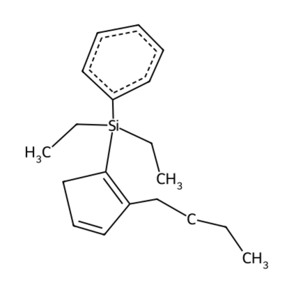 CCCCC1=C([Si](CC)(CC)c2ccccc2)CC=C1